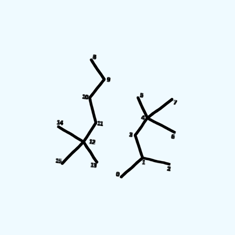 CC(C)CC(C)(C)C.CCCCC(C)(C)C